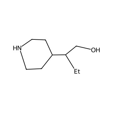 CCC(CO)C1CCNCC1